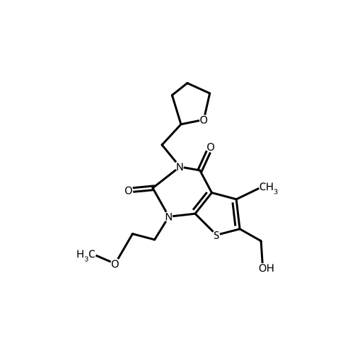 COCCn1c(=O)n(CC2CCCO2)c(=O)c2c(C)c(CO)sc21